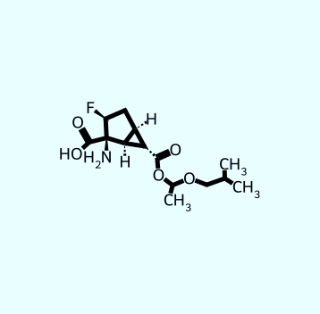 CC(C)COC(C)OC(=O)[C@H]1[C@@H]2C[C@H](F)[C@@](N)(C(=O)O)[C@@H]21